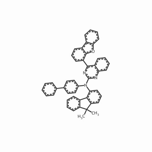 CC1(C)c2ccccc2-c2c(N(c3ccc(-c4ccccc4)cc3)c3nc(-c4cccc5c4oc4ccccc45)c4ccccc4n3)cccc21